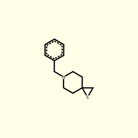 c1ccc(CN2CCC3(CC2)CS3)cc1